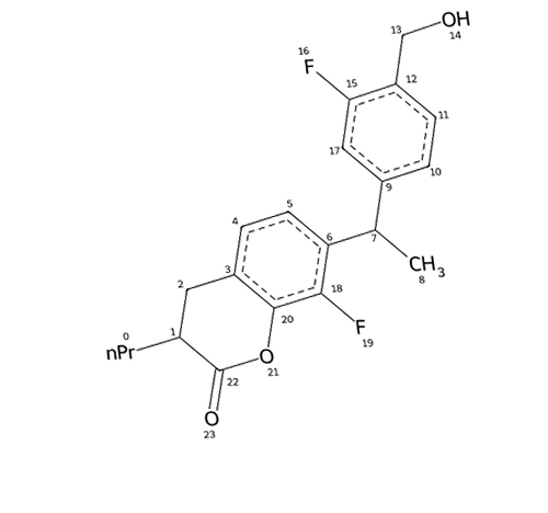 CCCC1Cc2ccc(C(C)c3ccc(CO)c(F)c3)c(F)c2OC1=O